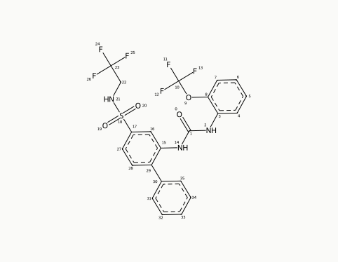 O=C(Nc1ccccc1OC(F)(F)F)Nc1cc(S(=O)(=O)NCC(F)(F)F)ccc1-c1ccccc1